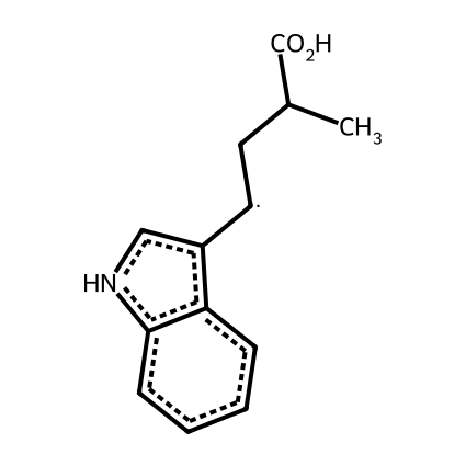 CC(C[CH]c1c[nH]c2ccccc12)C(=O)O